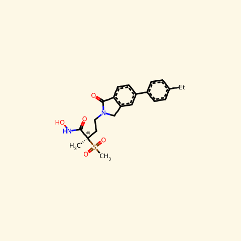 CCc1ccc(-c2ccc3c(c2)CN(CC[C@](C)(C(=O)NO)S(C)(=O)=O)C3=O)cc1